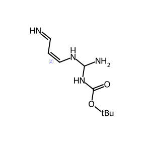 CC(C)(C)OC(=O)NC(N)N/C=C\C=N